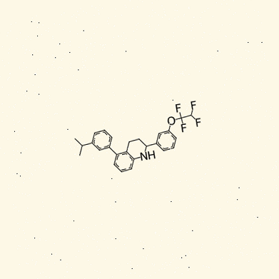 CC(C)c1cccc(-c2cccc3c2CCC(c2cccc(OC(F)(F)C(F)F)c2)N3)c1